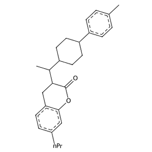 CCCc1ccc2c(c1)OC(=O)C(C(C)C1CCC(c3ccc(C)cc3)CC1)C2